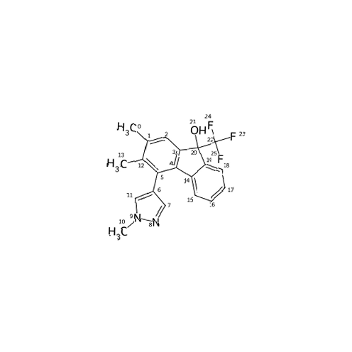 Cc1cc2c(c(-c3cnn(C)c3)c1C)-c1ccccc1C2(O)C(F)(F)F